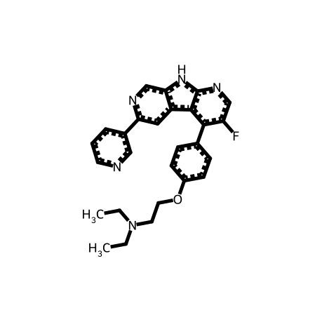 CCN(CC)CCOc1ccc(-c2c(F)cnc3[nH]c4cnc(-c5cccnc5)cc4c23)cc1